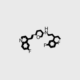 CCC(CCN[C@H]1CC[C@H](/C=C/c2ccnc3ccc(F)cc23)OC1)c1cc(F)ccc1F